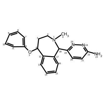 CN1CCC(Oc2ccccc2)c2ccccc2C1c1ccc(N)nn1